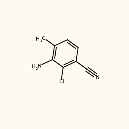 Cc1ccc(C#N)c(Cl)c1N